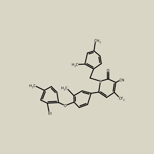 CCc1cc(C)ccc1Oc1ccc(-c2cc(C(F)(F)F)c(C#N)c(=O)n2Cc2ccc(C)cc2C)cc1C